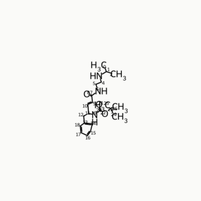 CC(C)NCCNC(=O)/C=C/[C@H](Cc1ccccc1)NC(=O)OC(C)(C)C